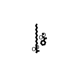 C=C(C(=O)OC)C1CCCCC1.C=C(C)C(=O)OCCCCCCCCCCCC